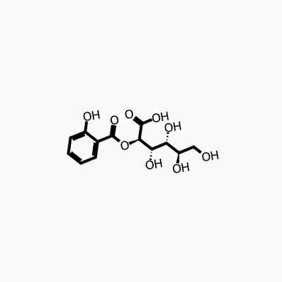 O=C(O[C@@H](C(=O)O)[C@@H](O)[C@H](O)[C@H](O)CO)c1ccccc1O